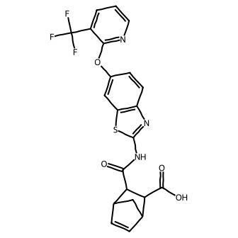 O=C(O)C1C2C=CC(C2)C1C(=O)Nc1nc2ccc(Oc3ncccc3C(F)(F)F)cc2s1